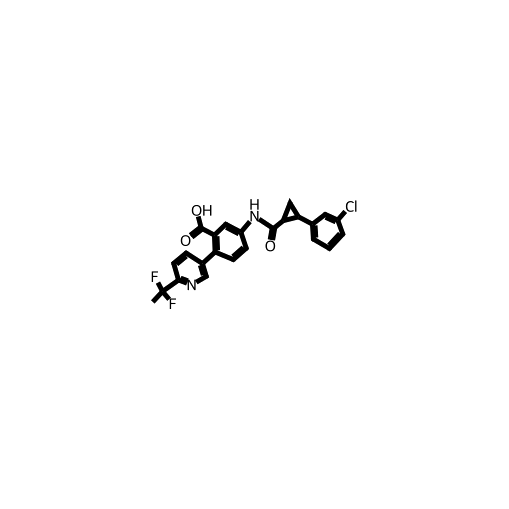 CC(F)(F)c1ccc(-c2ccc(NC(=O)C3CC3c3cccc(Cl)c3)cc2C(=O)O)cn1